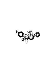 O=S(=O)(NC1CCC(N2CCCC2)NN1)C1CCC(F)CC1